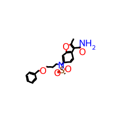 Cc1oc2cc(N(CCCOCc3ccccc3)S(C)(=O)=O)ccc2c1C(N)=O